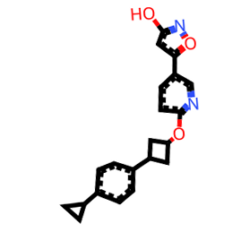 Oc1cc(-c2ccc(OC3CC(c4ccc(C5CC5)cc4)C3)nc2)on1